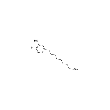 CCCCCCCCCCCCCCCCCCc1ccc(I)c(O)c1